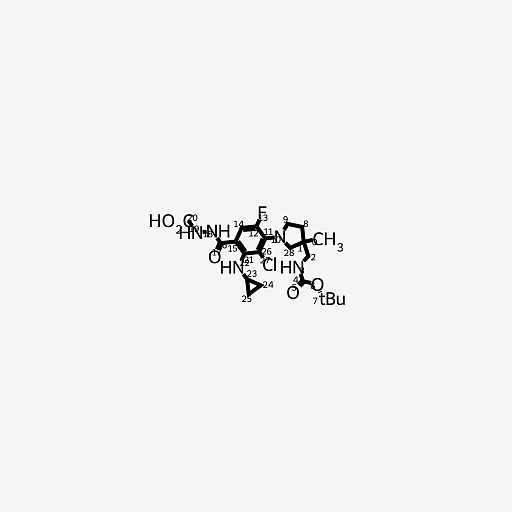 CC1(CNC(=O)OC(C)(C)C)CCN(c2c(F)cc(C(=O)NNC(=O)O)c(NC3CC3)c2Cl)C1